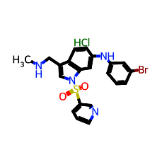 CNCc1cn(S(=O)(=O)c2cccnc2)c2cc(Nc3cccc(Br)c3)ccc12.Cl